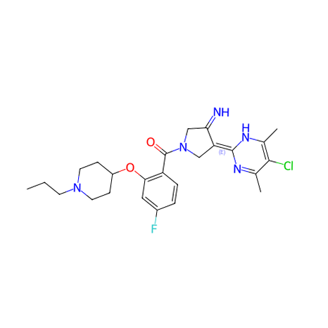 CCCN1CCC(Oc2cc(F)ccc2C(=O)N2CC(=N)/C(=C3/N=C(C)C(Cl)=C(C)N3)C2)CC1